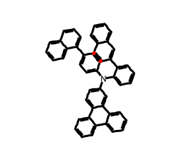 c1ccc(N(c2ccc(-c3cccc4ccccc34)cc2)c2ccc3c4ccccc4c4ccccc4c3c2)c(-c2ccc3ccccc3c2)c1